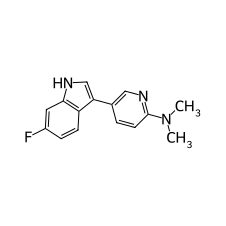 CN(C)c1ccc(-c2c[nH]c3cc(F)ccc23)cn1